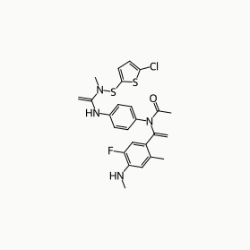 C=C(Nc1ccc(N(C(=C)c2cc(F)c(NC)cc2C)C(C)=O)cc1)N(C)Sc1ccc(Cl)s1